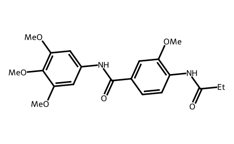 CCC(=O)Nc1ccc(C(=O)Nc2cc(OC)c(OC)c(OC)c2)cc1OC